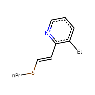 CCCS/C=C/c1ncccc1CC